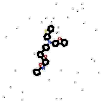 c1ccc(-c2nc3ccc4oc5c(-c6ccc(N(c7ccc8c(c7)oc7ccccc78)c7ccc8sc9ccccc9c8c7)cc6)cccc5c4c3o2)cc1